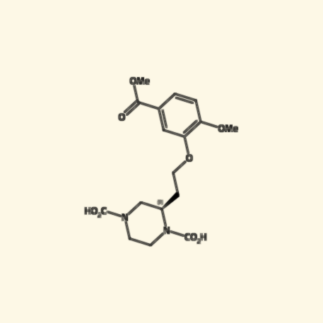 COC(=O)c1ccc(OC)c(OCC[C@@H]2CN(C(=O)O)CCN2C(=O)O)c1